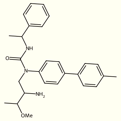 COC(C)C(N)CN(C(=O)NC(C)c1ccccc1)c1ccc(-c2ccc(C)cc2)cc1